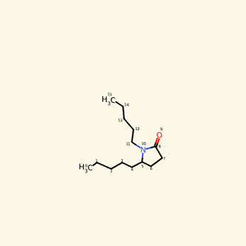 CCCCCC1CCC(=O)N1CCCCC